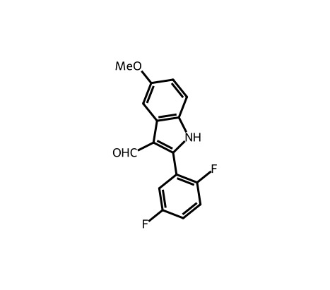 COc1ccc2[nH]c(-c3cc(F)ccc3F)c(C=O)c2c1